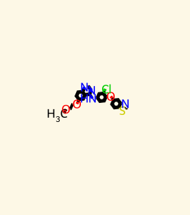 COCCOc1ccc2ncnc(Nc3ccc(Oc4ccc5scnc5c4)c(Cl)c3)c2c1